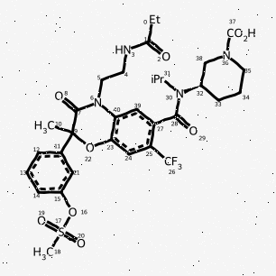 CCC(=O)NCCN1C(=O)C(C)(c2cccc(OS(C)(=O)=O)c2)Oc2cc(C(F)(F)F)c(C(=O)N(C(C)C)[C@@H]3CCCN(C(=O)O)C3)cc21